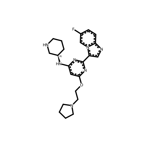 Fc1ccc2ncc(-c3nc(N[C@@H]4CCCNC4)cc(OCCN4CCCC4)n3)n2c1